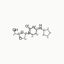 O=c1nc(NC2CCCC2)ccn1C1COC(CO)O1